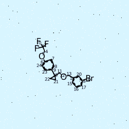 FC(F)(F)COc1ccc(C2(COCc3cccc(Br)c3)CC2)cc1